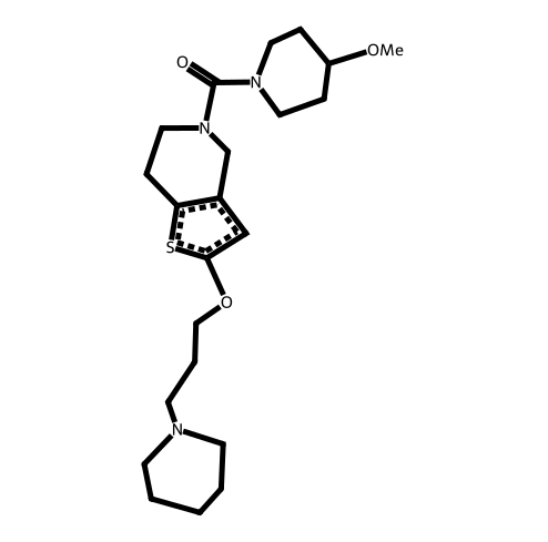 COC1CCN(C(=O)N2CCc3sc(OCCCN4CCCCC4)cc3C2)CC1